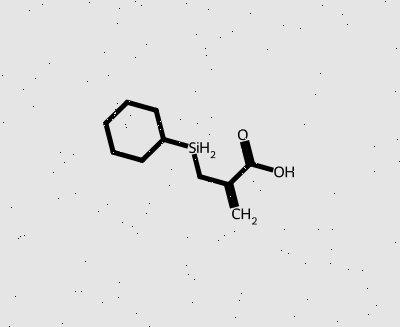 C=C(C[SiH2]C1CCCCC1)C(=O)O